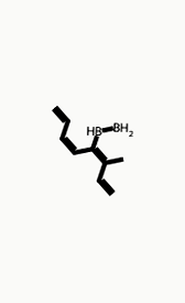 BBC(/C=C\C=C)=C(\C)C=C